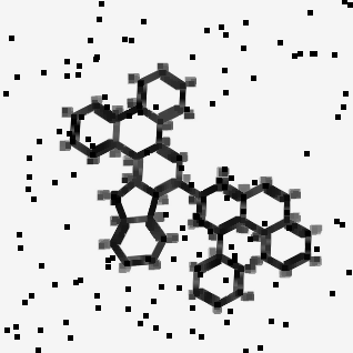 c1ccc(-c2nc(-c3cc4c5ccccc5c5ccccc5c4c4sc5ccccc5c34)nc3ccc4ccccc4c23)cc1